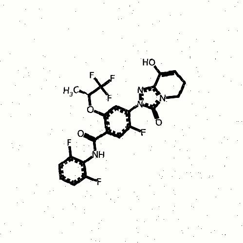 C[C@H](Oc1cc(-n2nc3n(c2=O)CCC=C3O)c(F)cc1C(=O)Nc1c(F)cccc1F)C(F)(F)F